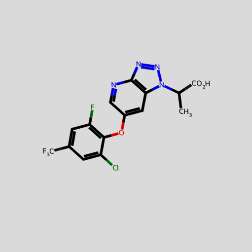 CC(C(=O)O)n1nnc2ncc(Oc3c(F)cc(C(F)(F)F)cc3Cl)cc21